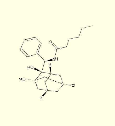 CCCCCC(=O)N[C@H](c1ccccc1)[C@]1(O)[C@H]2C[C@@H]3C[C@](Cl)(C2)C[C@@]1(O)C3